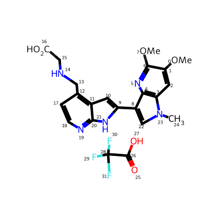 COc1cc2c(nc1OC)c(-c1cc3c(CNCC(=O)O)ccnc3[nH]1)cn2C.O=C(O)C(F)(F)F